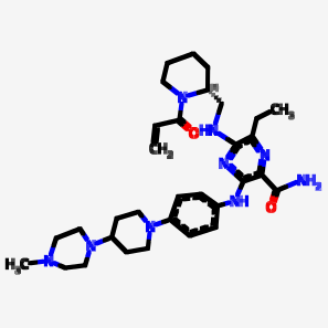 C=CC(=O)N1CCCC[C@@H]1CNc1nc(Nc2ccc(N3CCC(N4CCN(C)CC4)CC3)cc2)c(C(N)=O)nc1CC